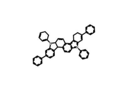 C1=CCCC(N2c3cc(-c4ccccc4)ccc3C3c4ccc5c(c4C=CC32)c2c(n5-c3ccccc3)C=C(c3ccccc3)CC2)=C1